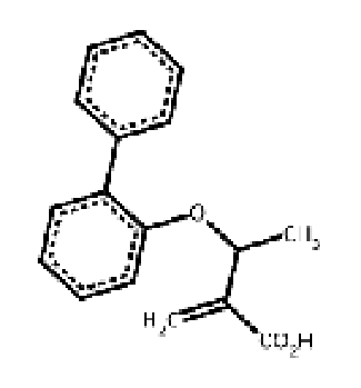 C=C(C(=O)O)C(C)Oc1ccccc1-c1ccccc1